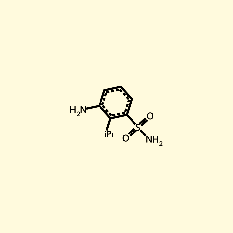 CC(C)c1c(N)cccc1S(N)(=O)=O